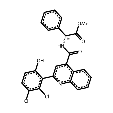 COC(=O)[C@H](NC(=O)c1cc(-c2c(O)ccc(Cl)c2Cl)nc2ccccc12)c1ccccc1